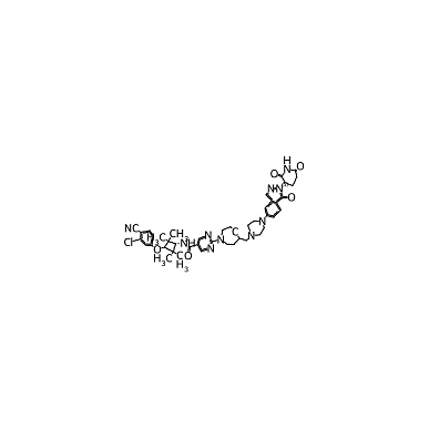 CC1(C)[C@H](NC(=O)c2cnc(N3CCCC(CN4CCN(c5ccc6c(=O)n([C@H]7CCC(=O)NC7=O)ncc6c5)CC4)CC3)nc2)C(C)(C)[C@H]1Oc1ccc(C#N)c(Cl)c1